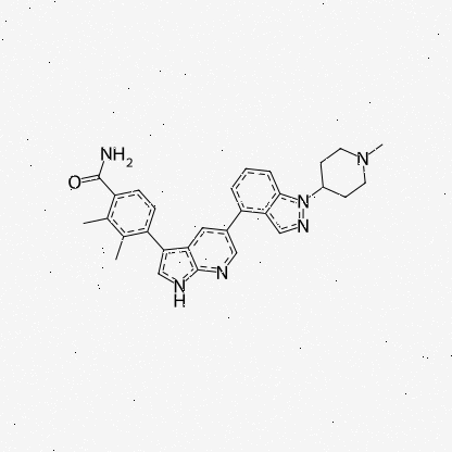 Cc1c(C(N)=O)ccc(-c2c[nH]c3ncc(-c4cccc5c4cnn5C4CCN(C)CC4)cc23)c1C